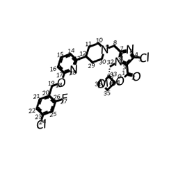 COC(=O)c1c(Cl)nc(CN2CCC(c3cccc(OCc4ccc(Cl)cc4F)n3)CC2)n1C[C@@H]1CCO1